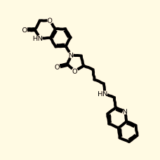 O=C1COc2ccc(N3CC(CCCNCc4ccc5ccccc5n4)OC3=O)cc2N1